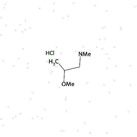 CNCC(C)OC.Cl